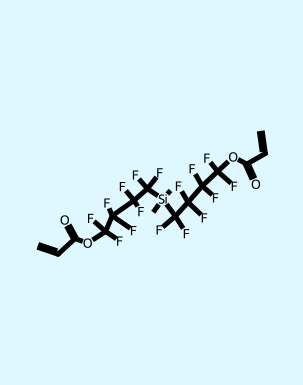 C=CC(=O)OC(F)(F)C(F)(F)C(F)(F)C(F)(F)[Si](C)(C)C(F)(F)C(F)(F)C(F)(F)C(F)(F)OC(=O)C=C